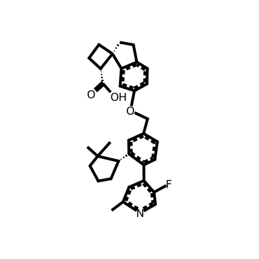 Cc1cc(-c2ccc(COc3ccc4c(c3)[C@]3(CC4)CC[C@H]3C(=O)O)cc2[C@@H]2CCCC2(C)C)c(F)cn1